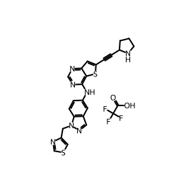 C(#CC1CCCN1)c1cc2ncnc(Nc3ccc4c(cnn4Cc4cscn4)c3)c2s1.O=C(O)C(F)(F)F